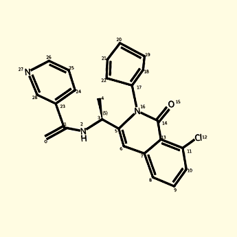 C=C(N[C@@H](C)c1cc2cccc(Cl)c2c(=O)n1-c1ccccc1)c1cccnc1